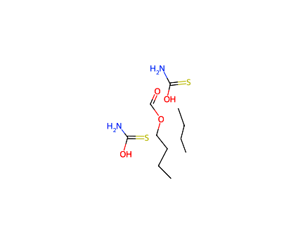 CCCC.CCCCOC=O.NC(O)=S.NC(O)=S